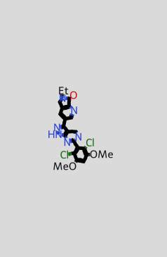 CCN1Cc2cc(-c3n[nH]c4nc(-c5c(Cl)c(OC)cc(OC)c5Cl)ncc34)cnc2C1=O